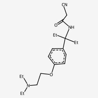 CCN(CC)CCOc1ccc(C(CC)(CC)NC(=O)CC#N)cc1